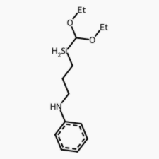 CCOC(OCC)[SiH2]CCCNc1ccccc1